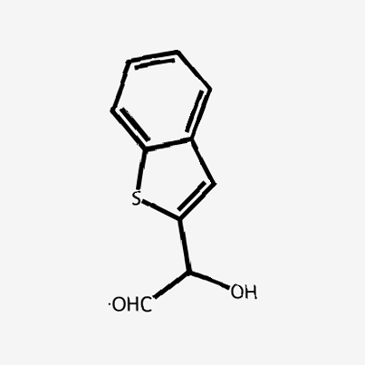 O=[C]C(O)c1cc2ccccc2s1